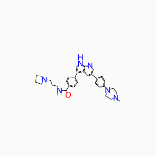 CN1CCN(c2ccc(-c3cnc4[nH]cc(-c5ccc(C(=O)N(C)CCCN6CCCC6)cc5)c4c3)cc2)CC1